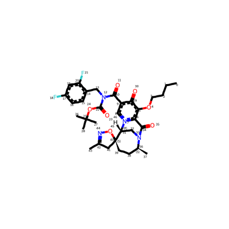 CCCCOc1c2n(cc(C(=O)N(Cc3ccc(F)cc3F)C(=O)OC(C)(C)C)c1=O)[C@@H]1CN(C2=O)[C@@H](C)CC[C@]12CC(C)=NO2